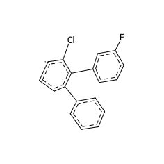 Fc1cccc(-c2c(Cl)[c]ccc2-c2ccccc2)c1